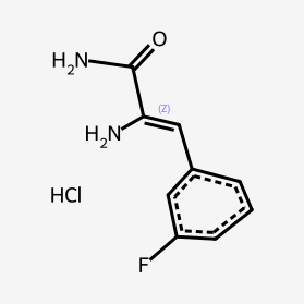 Cl.NC(=O)/C(N)=C/c1cccc(F)c1